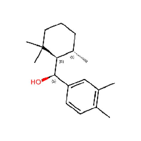 Cc1ccc([C@@H](O)[C@@H]2[C@@H](C)CCCC2(C)C)cc1C